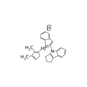 CC1=CC[C]([Hf+2][CH]2C(n3c4c(c5ccccc53)CCC4)=Cc3ccccc32)=C1C.[Cl-].[Cl-]